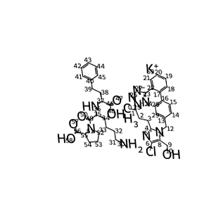 CCCCc1nc(Cl)c(CO)n1Cc1ccc(-c2ccccc2-c2nnn[n-]2)cc1.NCCCC[C@H](N[C@@H](CCc1ccccc1)C(=O)O)C(=O)N1CCC[C@H]1C(=O)O.[K+]